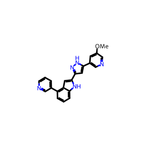 COc1cncc(-c2cc(-c3cc4c(-c5cccnc5)cccc4[nH]3)n[nH]2)c1